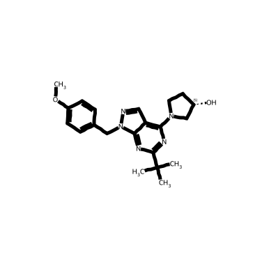 COc1ccc(Cn2ncc3c(N4CC[C@H](O)C4)nc(C(C)(C)C)nc32)cc1